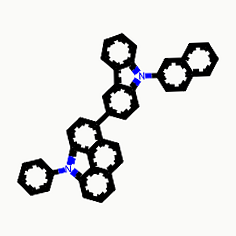 c1ccc(-n2c3cccc4ccc5c(-c6ccc7c(c6)c6ccccc6n7-c6ccc7ccccc7c6)ccc2c5c43)cc1